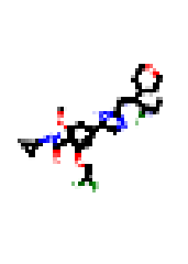 C/C=C(F)\C(=C/c1ncc(-c2cc(OC)c(C(=O)NC3CC3)c(OCC(F)F)c2)[nH]1)C1CCOCC1